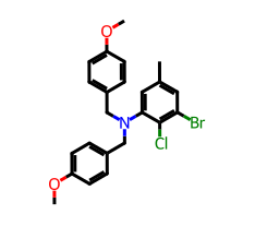 COc1ccc(CN(Cc2ccc(OC)cc2)c2cc(C)cc(Br)c2Cl)cc1